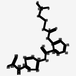 C=C(CCCN(C)C)Cc1ccccc1C(=C)Cc1ccc(NC(=C)C)cc1